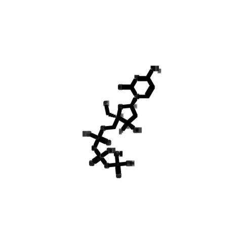 Nc1ccn([C@H]2C[C@](O)(F)[C@@](CCl)(COP(=O)(O)OP(=O)(O)OP(=O)(O)O)O2)c(=O)n1